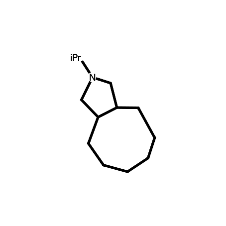 CC(C)N1CC2CCCCCCC2C1